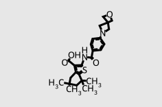 CC1(C)Cc2c(sc(NC(=O)c3ccc(N4CC5(COC5)C4)cc3)c2C(=O)O)C(C)(C)C1